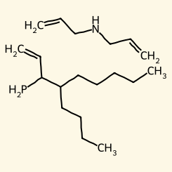 C=CC(P)C(CCCC)CCCCC.C=CCNCC=C